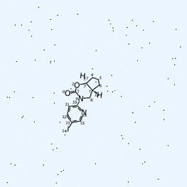 O=C1O[C@H]2CCC[C@@H]2CN1c1ccc(I)cn1